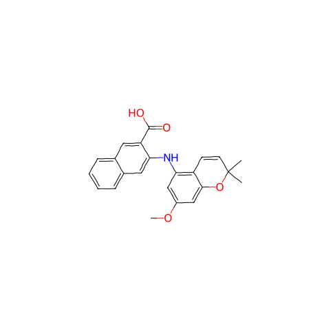 COc1cc(Nc2cc3ccccc3cc2C(=O)O)c2c(c1)OC(C)(C)C=C2